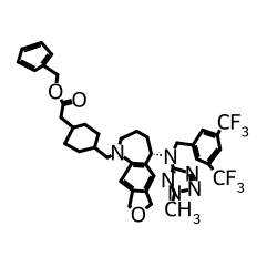 Cn1nnc(N(Cc2cc(C(F)(F)F)cc(C(F)(F)F)c2)[C@H]2CCCN(CC3CCC(CC(=O)OCc4ccccc4)CC3)c3cc4c(cc32)COC4)n1